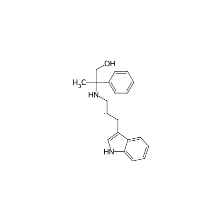 CC(CO)(NC[CH]Cc1c[nH]c2ccccc12)c1ccccc1